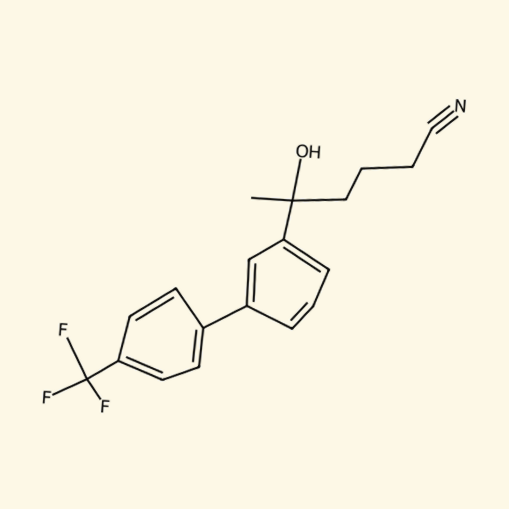 CC(O)(CCCC#N)c1cccc(-c2ccc(C(F)(F)F)cc2)c1